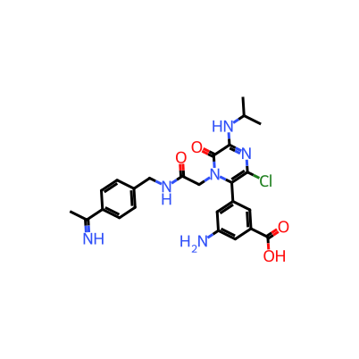 CC(=N)c1ccc(CNC(=O)Cn2c(-c3cc(N)cc(C(=O)O)c3)c(Cl)nc(NC(C)C)c2=O)cc1